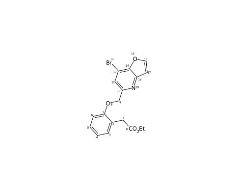 CCOC(=O)Cc1ccccc1OCc1cc(Br)c2occc2n1